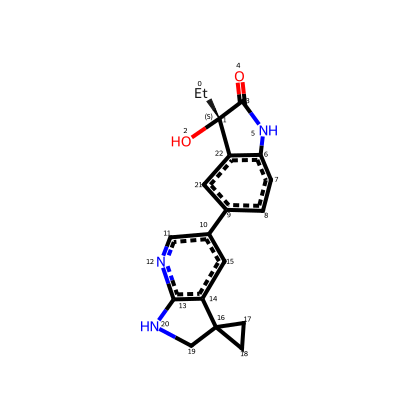 CC[C@@]1(O)C(=O)Nc2ccc(-c3cnc4c(c3)C3(CC3)CN4)cc21